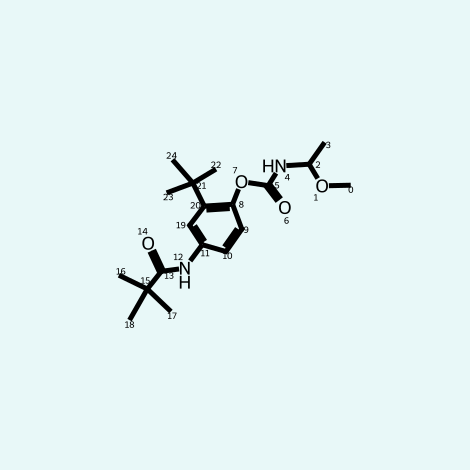 COC(C)NC(=O)Oc1ccc(NC(=O)C(C)(C)C)cc1C(C)(C)C